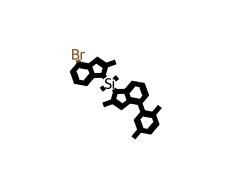 CC1=Cc2c(Br)cccc2C1[Si](C)(C)C1C(C)=Cc2c(-c3cc(C)ccc3C)cccc21